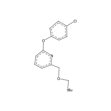 CC(C)(C)COCc1cccc(Oc2ccc(Cl)cc2)n1